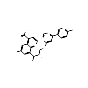 CNC(=O)c1ccnc2c(C(C)[C@H](C)CNc3cc(-c4ccc(C)nc4)ncn3)cc(F)cc12